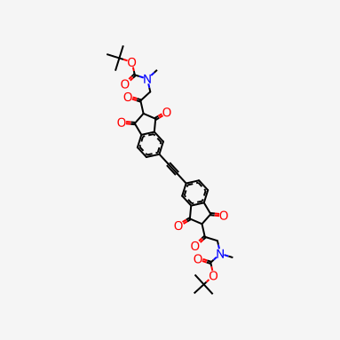 CN(CC(=O)C1C(=O)c2ccc(C#Cc3ccc4c(c3)C(=O)C(C(=O)CN(C)C(=O)OC(C)(C)C)C4=O)cc2C1=O)C(=O)OC(C)(C)C